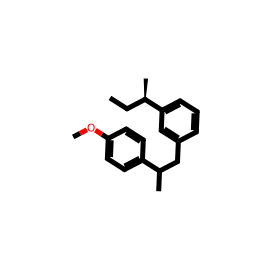 CC[C@@H](C)c1cccc(CC(C)c2ccc(OC)cc2)c1